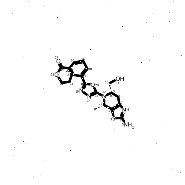 C[C@H]1c2sc(N)nc2C[C@@H](CO)N1c1nnc(-c2cccc3c2CCOC3=O)o1